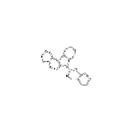 c1ccc2nc(-n3c4ccccc4c4c5ccccc5ccc43)ncc2c1